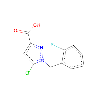 O=C(O)c1cc(Cl)n(Cc2ccccc2F)n1